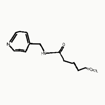 CCCCCCCCCCCC(=O)NCc1ccncc1